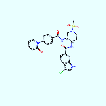 CS(=O)(=O)N1CC[C@@H](NC(=O)c2ccc3c(Cl)c[nH]c3c2)[C@@H](NC(=O)c2ccc(-n3ccccc3=O)cc2)C1